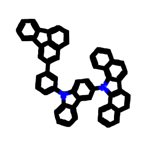 c1cc(-c2cc3c4c(cccc4c2)-c2ccccc2-3)cc(-n2c3ccccc3c3cc(-n4c5c6ccccc6ccc5c5ccc6ccccc6c54)ccc32)c1